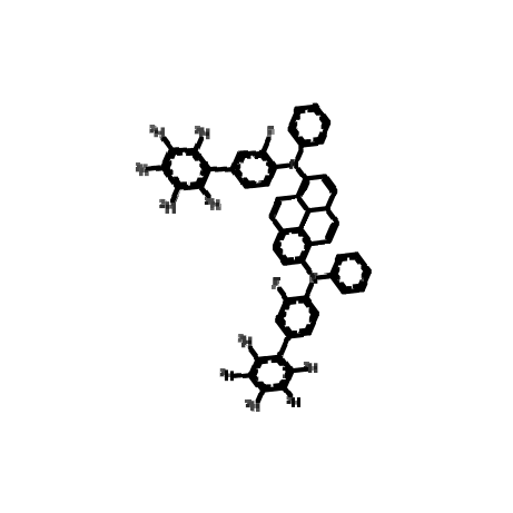 [2H]c1c([2H])c([2H])c(-c2ccc(N(C3=C4C=Cc5ccc(N(c6ccccc6)c6ccc(-c7c([2H])c([2H])c([2H])c([2H])c7[2H])cc6F)c6c5C4C(C=C3)C=C6)c3ccccc3)c(F)c2)c([2H])c1[2H]